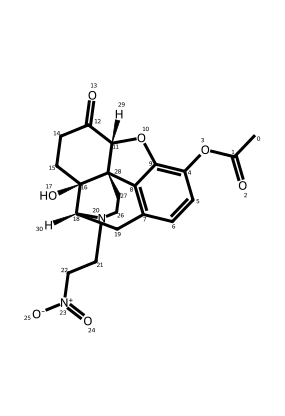 CC(=O)Oc1ccc2c3c1O[C@H]1C(=O)CC[C@@]4(O)[C@@H](C2)N(CC[N+](=O)[O-])CC[C@]314